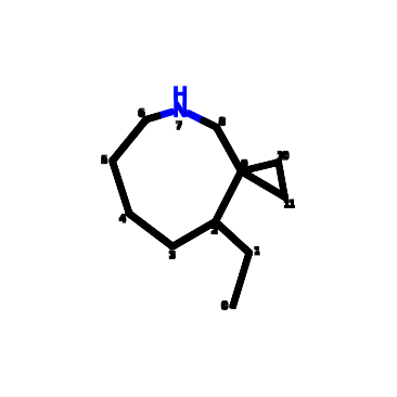 CCC1CCCCNCC12CC2